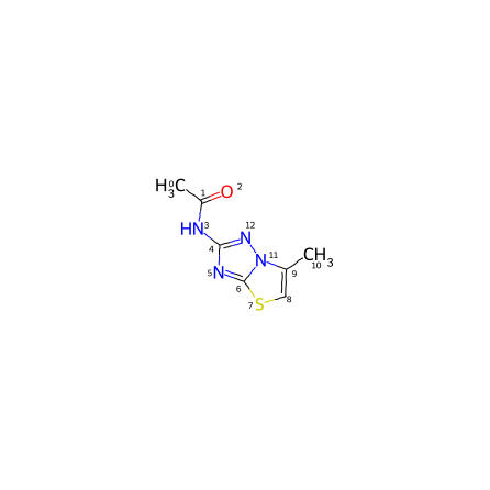 CC(=O)Nc1nc2scc(C)n2n1